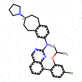 CC(C)Oc1cc(Cl)ccc1-c1cccc2cnc(Nc3ccc4c(c3)CC[C@@H](N3CCCC3)CC4)nc12